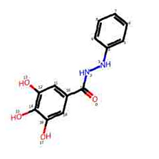 O=C(NNc1ccccc1)c1cc(O)c(O)c(O)c1